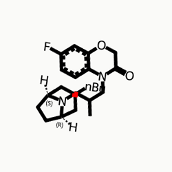 CCCCC1C[C@H]2CC[C@@H](C1)N2CC(C)CN1C(=O)COc2cc(F)ccc21